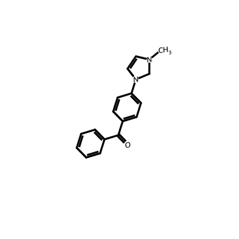 CN1C=CN(c2ccc(C(=O)c3ccccc3)cc2)C1